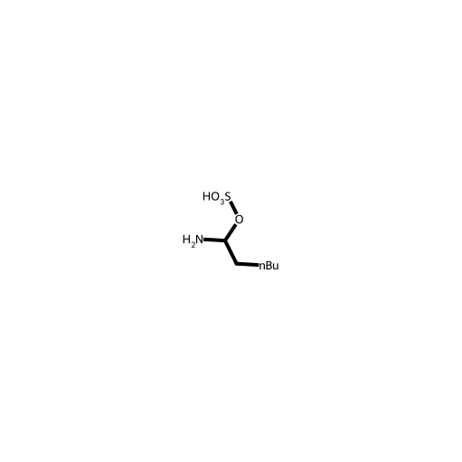 CCCCCC(N)OS(=O)(=O)O